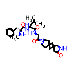 CN[C@H](Cc1ccccc1)C(=O)NC(CC(C)C)C(=O)NCC(=O)N1CCC2(CC1)CC1(CNC(=O)C1)C2